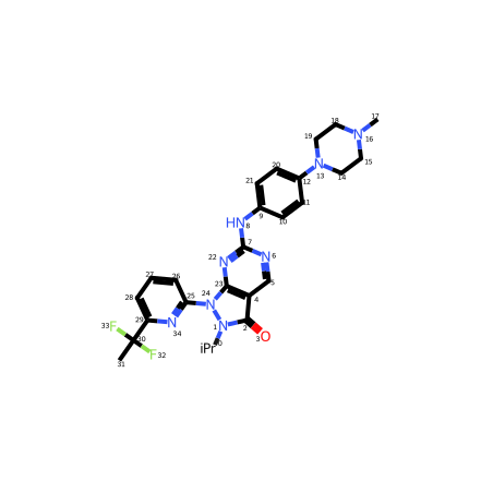 CC(C)n1c(=O)c2cnc(Nc3ccc(N4CCN(C)CC4)cc3)nc2n1-c1cccc(C(C)(F)F)n1